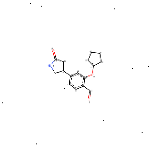 O=Cc1ccc(C2CNC(=O)C2)cc1OC1CCCC1